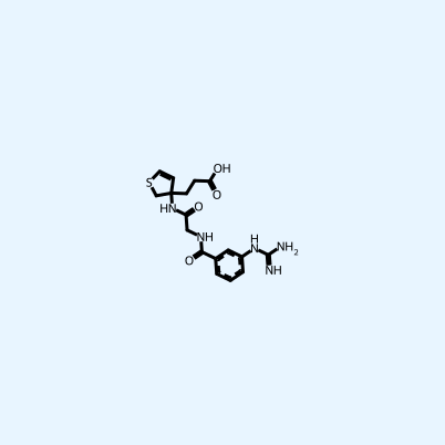 N=C(N)Nc1cccc(C(=O)NCC(=O)NC2(CCC(=O)O)C=CSC2)c1